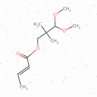 C/C=C/C(=O)OCC(C)(C)C(OC)OC